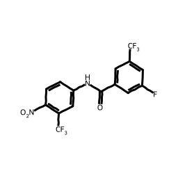 O=C(Nc1ccc([N+](=O)[O-])c(C(F)(F)F)c1)c1cc(F)cc(C(F)(F)F)c1